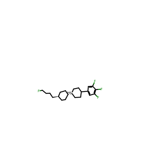 FCCCC[C@H]1CC[C@H]([SiH]2CCC(c3cc(F)c(F)c(F)c3)CC2)CC1